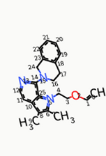 C=COCCn1c(C)c(C)c2ccnc(N3CCc4ccccc4C3)c21